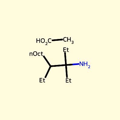 CC(=O)O.CCCCCCCCC(CC)C(N)(CC)CC